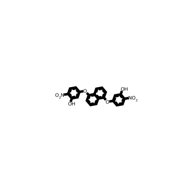 O=[N+]([O-])c1ccc(Oc2cccc3c(Oc4ccc([N+](=O)[O-])c(O)c4)cccc23)cc1O